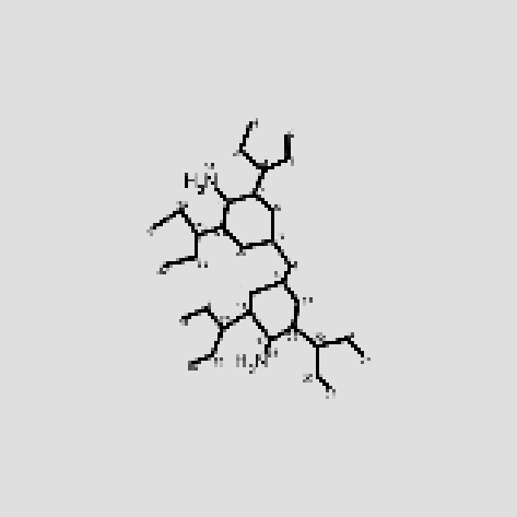 CCC(CC)C1CC(CC2CC(C(CC)CC)C(N)C(C(CC)CC)C2)CC(C(CC)CC)C1N